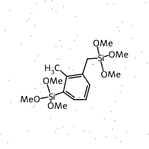 CO[Si](Cc1cccc([Si](OC)(OC)OC)c1C)(OC)OC